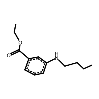 CCCCNc1cccc(C(=O)OCC)c1